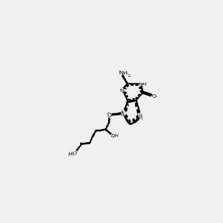 Nc1nc2c(ncn2OC(O)CCCO)c(=O)[nH]1